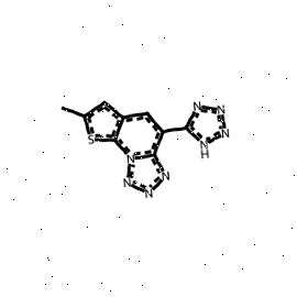 Cc1cc2cc(-c3nnn[nH]3)c3nnnn3c2s1